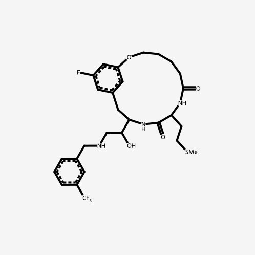 CSCCC1NC(=O)CCCCOc2cc(F)cc(c2)CC(C(O)CNCc2cccc(C(F)(F)F)c2)NC1=O